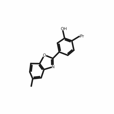 Cc1ccc2oc(-c3ccc(C(C)C)c(O)c3)nc2c1